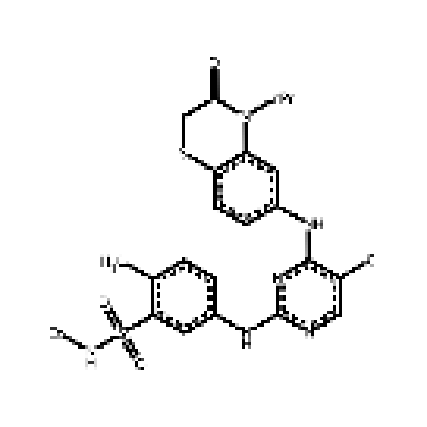 CCCN1C(=O)CSc2ccc(Nc3nc(Nc4ccc(C)c(S(=O)(=O)NCC)c4)ncc3Cl)cc21